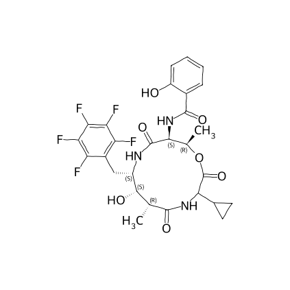 C[C@H]1OC(=O)C(C2CC2)NC(=O)[C@H](C)[C@H](O)[C@H](Cc2c(F)c(F)c(F)c(F)c2F)NC(=O)[C@H]1NC(=O)c1ccccc1O